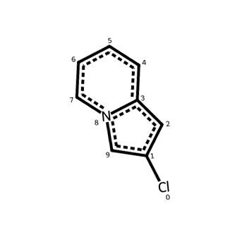 Clc1cc2ccccn2c1